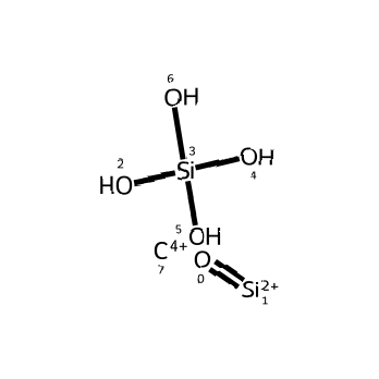 O=[Si+2].O[Si](O)(O)O.[C+4]